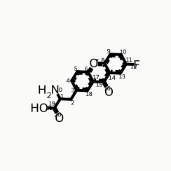 NC(Cc1ccc2oc3ccc(F)cc3c(=O)c2c1)C(=O)O